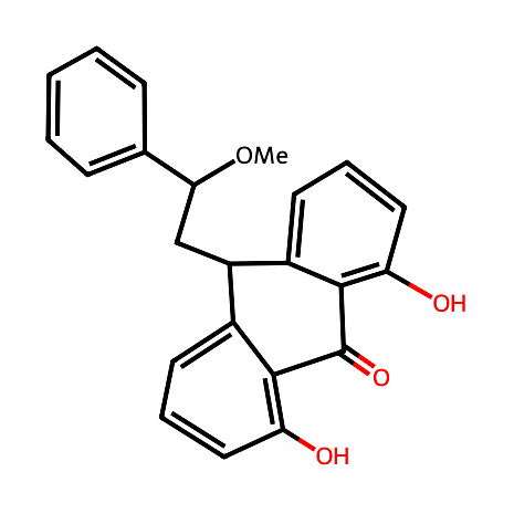 COC(CC1c2cccc(O)c2C(=O)c2c(O)cccc21)c1ccccc1